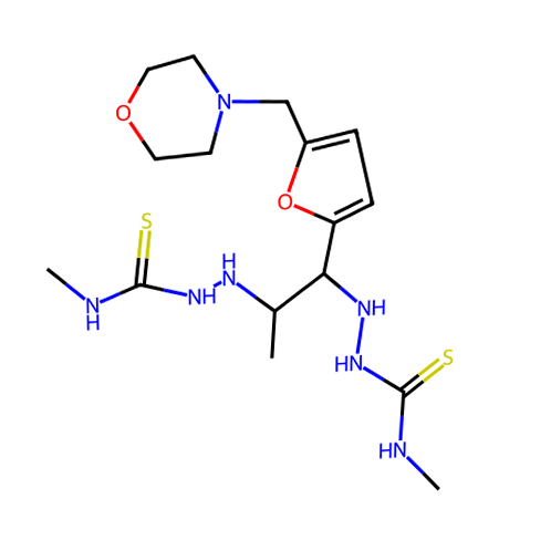 CNC(=S)NNC(C)C(NNC(=S)NC)c1ccc(CN2CCOCC2)o1